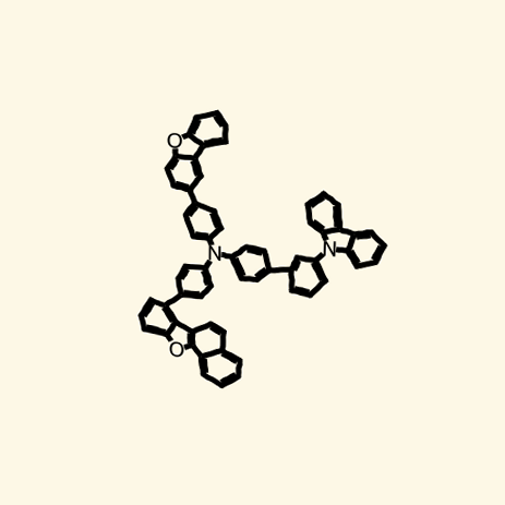 c1cc(-c2ccc(N(c3ccc(-c4ccc5oc6ccccc6c5c4)cc3)c3ccc(-c4cccc5oc6c7ccccc7ccc6c45)cc3)cc2)cc(-n2c3ccccc3c3ccccc32)c1